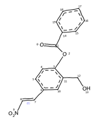 O=C(Oc1ccc(/C=C/[N+](=O)[O-])cc1CO)c1ccccc1